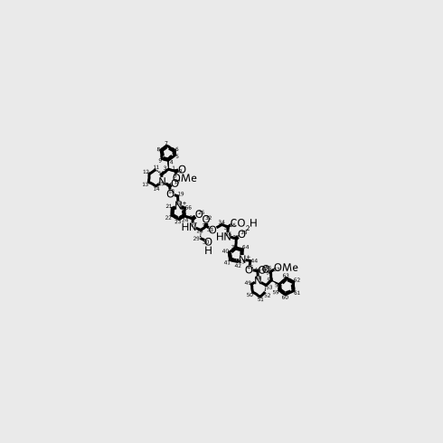 COC(=O)[C@H](c1ccccc1)[C@H]1CCCCN1C(=O)OC[n+]1cccc(C(=O)N[C@@H](CO)C(=O)OCC(NC(=O)c2ccc[n+](COC(=O)N3CCCC[C@H]3[C@@H](C(=O)OC)c3ccccc3)c2)C(=O)O)c1